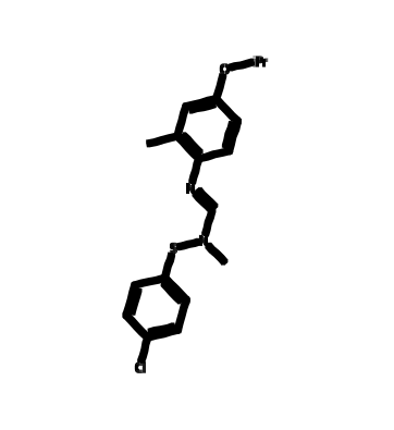 Cc1cc(OC(C)C)ccc1N=CN(C)Sc1ccc(Cl)cc1